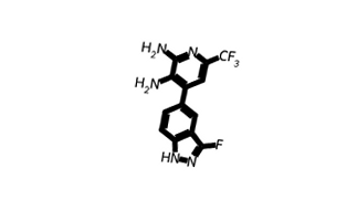 Nc1nc(C(F)(F)F)cc(-c2ccc3[nH]nc(F)c3c2)c1N